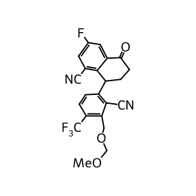 COCOCc1c(C(F)(F)F)ccc(C2CCC(=O)c3cc(F)cc(C#N)c32)c1C#N